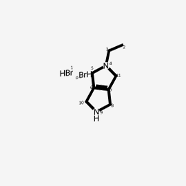 Br.Br.CCN1CC2=C(CNC2)C1